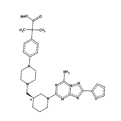 COC(=O)C(C)(C)c1ccc(N2CCN(C[C@@H]3CCCN(c4nc(N)n5nc(-c6ccco6)nc5n4)C3)CC2)cc1